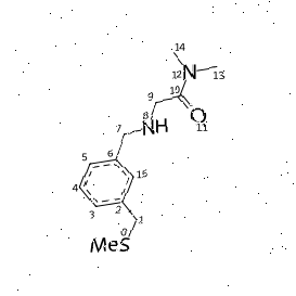 CSCc1cccc(CNCC(=O)N(C)C)c1